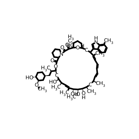 CO[C@H]1[C@@H](O)[C@H](C)C[C@H](C)/C=C/C=C/C=C(\C)C(c2c[nH]c3c(C)cccc23)C[C@@H]2CC[C@@H](C)[C@@](O)(O2)C(=O)C(=O)N2CCCCC2C(=O)O[C@H]([C@H](C)C[C@@H]2CC[C@@H](O)[C@H](OC)C2)C[C@H](O)[C@H](C)/C=C(\C)[C@H]1O